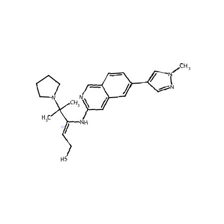 Cn1cc(-c2ccc3cnc(N/C(=C\CS)C(C)(C)N4CCCC4)cc3c2)cn1